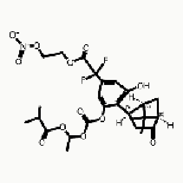 CC(OC(=O)Oc1cc(C(F)(F)C(=O)OCCO[N+](=O)[O-])cc(O)c1[C@@H]1CC(=O)[C@@H]2C[C@H]1C2(C)C)OC(=O)C(C)C